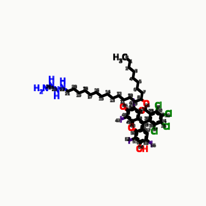 CCCCCCCCC(CCCCCCCCCCCCCNNNN)OC(=O)c1c(Cl)c(Cl)c(Cl)c(Cl)c1-c1c2cc(I)c(=O)c(I)c-2oc2c(I)c(O)c(I)cc12